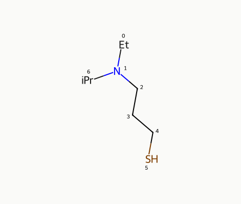 CCN(CCCS)C(C)C